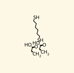 C=CC(=O)O.C=CC(=O)O.SCCCCCCS